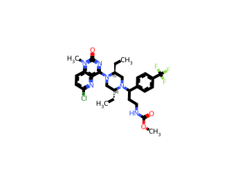 CC[C@H]1CN(C(CCNC(=O)OC)c2ccc(C(F)(F)F)cc2)[C@H](CC)CN1c1nc(=O)n(C)c2ccc(Cl)nc12